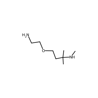 CNC(C)(C)CCOCCN